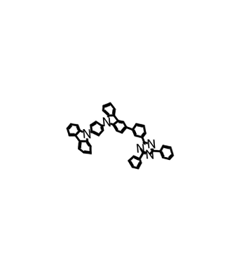 c1ccc(-c2nc(-c3ccccc3)nc(-c3cccc(-c4ccc5c(c4)c4ccccc4n5-c4ccc(-n5c6ccccc6c6ccccc65)cc4)c3)n2)cc1